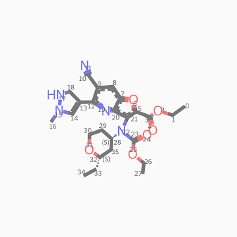 CCOC(=O)c1oc2cc(C#N)c(C3=CN(C)NC3)nc2c1N(C(=O)OCC)[C@H]1CCO[C@@H](CC)C1